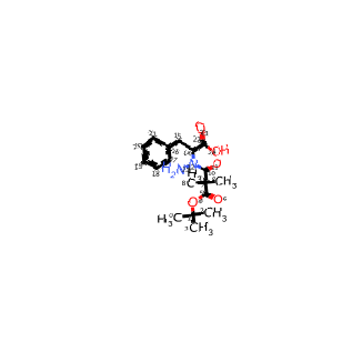 CC(C)(C)OC(=O)C(C)(C)C(=O)N(N)C(Cc1ccccc1)C(=O)O